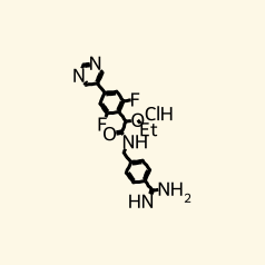 CCOC(C(=O)NCc1ccc(C(=N)N)cc1)c1c(F)cc(-c2cncnc2)cc1F.Cl